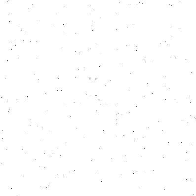 CCc1ccccc1CCSC